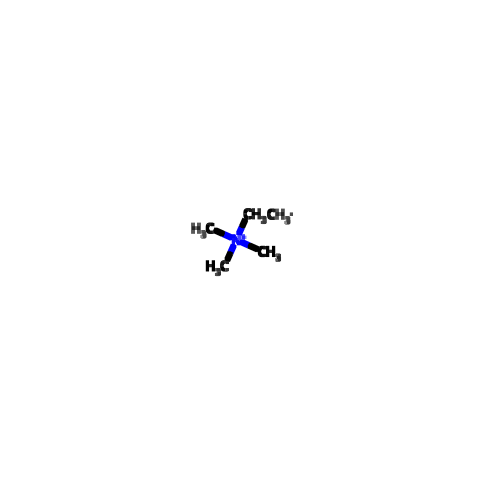 C[N+](C)(C)C.[CH3]